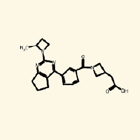 C[C@H]1CCN1c1nc2c(c(-c3cccc(C(=O)N4CC(CC(=O)O)C4)c3)n1)CCC2